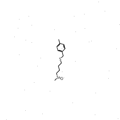 Cc1ccc(CSCCCC[S+](C)[O-])cc1